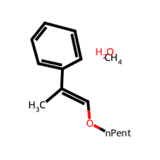 C.CCCCCOC=C(C)c1ccccc1.O